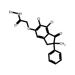 CCNC(=O)COc1cc2c(c(Cl)c1Cl)C(=O)C(C)(c1ccccc1)C2